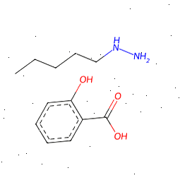 CCCCCNN.O=C(O)c1ccccc1O